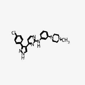 CN1CCN(c2cccc(Nc3nccc(-c4c[nH]nc4-c4ccc(Cl)cc4)n3)c2)CC1